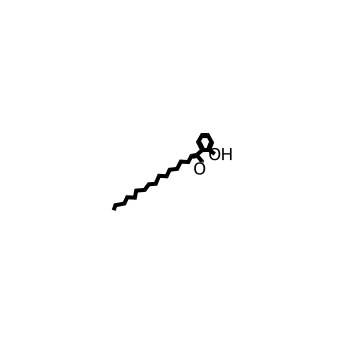 CCCCCCCCCCCCCCCC=C(C=O)c1ccccc1O